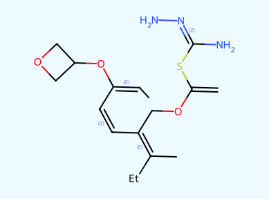 C=C(OCC(/C=C\C(=C/C)OC1COC1)=C(\C)CC)S/C(N)=N\N